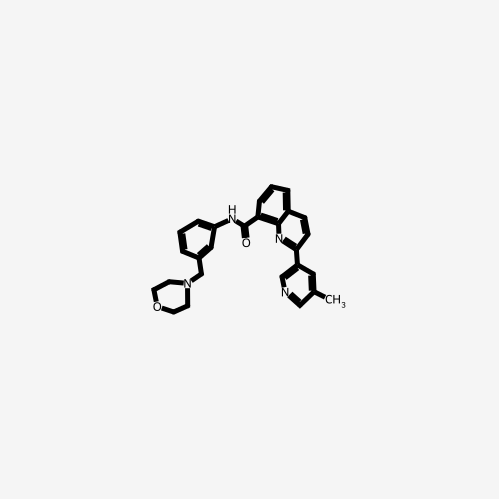 Cc1cncc(-c2ccc3cccc(C(=O)Nc4cccc(CN5CCOCC5)c4)c3n2)c1